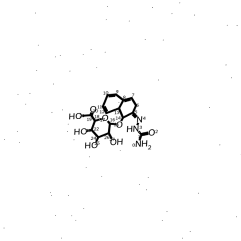 NC(=O)NN=C1CC=C2C=CC=CC2C1OC1OC(C(=O)O)C(O)C(O)C1O